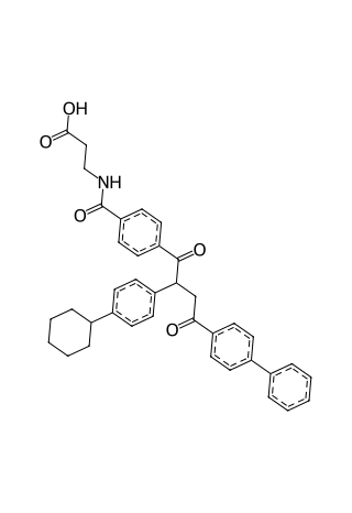 O=C(O)CCNC(=O)c1ccc(C(=O)C(CC(=O)c2ccc(-c3ccccc3)cc2)c2ccc(C3CCCCC3)cc2)cc1